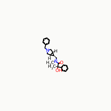 CN(C[C@H]1[C@@H]2CN(Cc3ccccc3)C[C@@H]21)C(=O)[C@@](C)(O)c1ccccc1